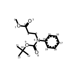 COC(=O)CCN(C(=O)OC(C)(C)C)c1ccccc1